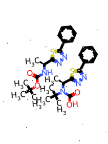 C[C@@H](c1nnc(-c2ccccc2)s1)N(C(=O)O)C(C)(C)C.C[C@H](NC(=O)OC(C)(C)C)c1nnc(-c2ccccc2)s1